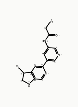 CC(C)CC(=O)Nc1cncc(-c2cc3c(cn2)NCC3I)c1